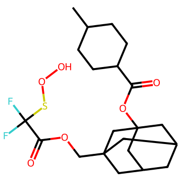 CC1CCC(C(=O)OC23CC4CC(CC(COC(=O)C(F)(F)SOO)(C4)C2)C3)CC1